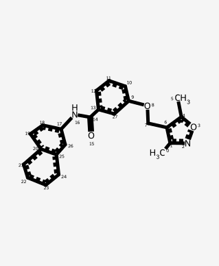 Cc1noc(C)c1COc1cccc(C(=O)Nc2ccc3ccccc3c2)c1